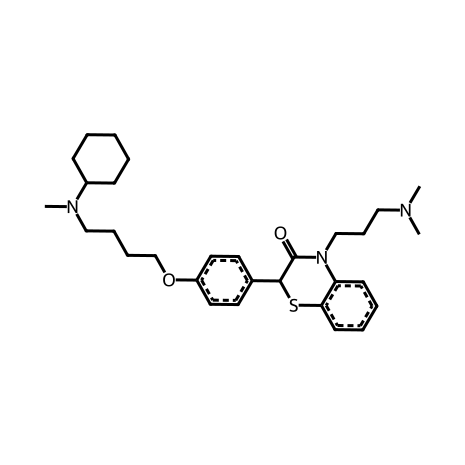 CN(C)CCCN1C(=O)C(c2ccc(OCCCCN(C)C3CCCCC3)cc2)Sc2ccccc21